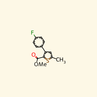 COC(=O)c1sc(C)cc1-c1ccc(F)cc1